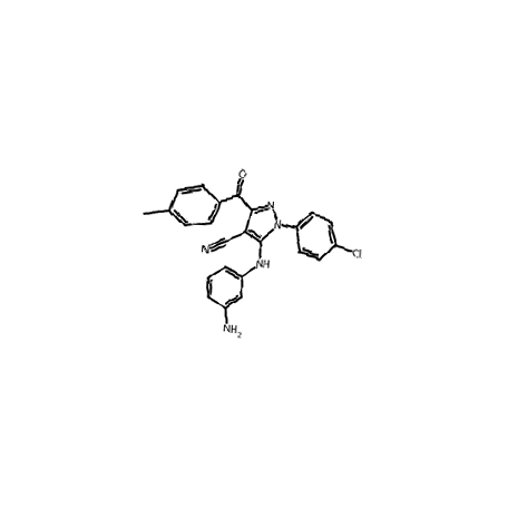 Cc1ccc(C(=O)c2nn(-c3ccc(Cl)cc3)c(Nc3cccc(N)c3)c2C#N)cc1